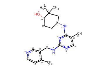 CC1(C)C[C@H](Nc2nc(NCc3cnccc3C(F)(F)F)ncc2C#N)CC[C@@H]1O